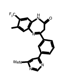 CNc1cc(-c2cccc(C3=Nc4cc(C)c(C(F)(F)F)cc4NC(=O)C3)c2)ncn1